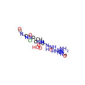 Cc1c(NC(=O)c2ccc(CNCCNC(=O)CCCNc3nc(N)n4nc(-c5ccco5)nc4n3)cn2)cccc1-c1cccc(NC(=O)c2ccc(CN3CC4(CCOCC4)C3)cn2)c1Cl.O=CO